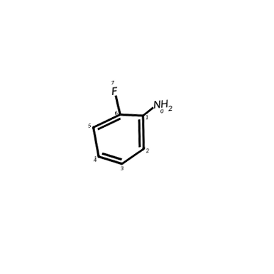 Nc1cc[c]cc1F